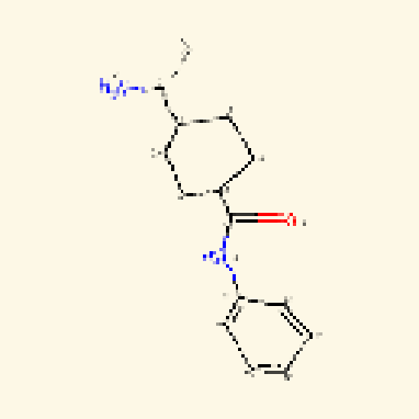 C[C@@H](N)C1CCC(C(=O)Nc2ccccc2)CC1